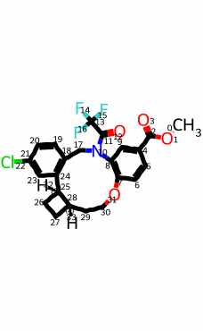 COC(=O)c1ccc2c(c1)N(C(=O)C(F)(F)F)Cc1ccc(Cl)cc1[C@H]1CC[C@H]1CCO2